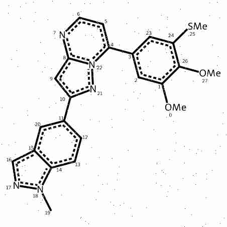 COc1cc(-c2ccnc3cc(-c4ccc5c(cnn5C)c4)nn23)cc(SC)c1OC